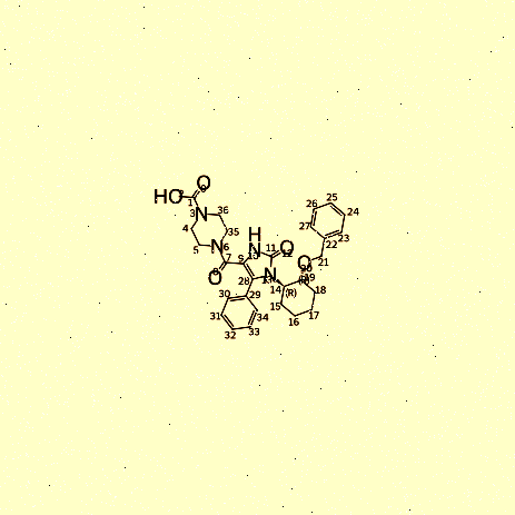 O=C(O)N1CCN(C(=O)c2[nH]c(=O)n([C@@H]3CCCC[C@H]3OCc3ccccc3)c2-c2ccccc2)CC1